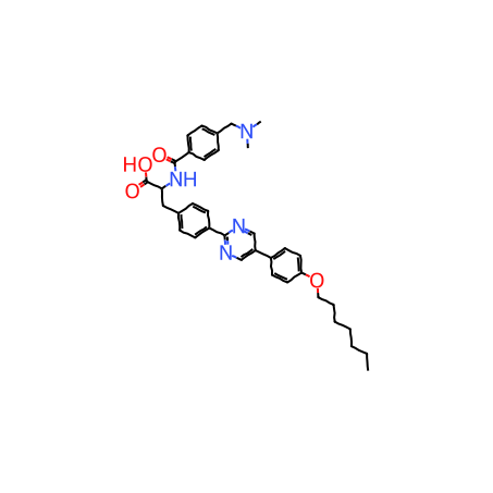 CCCCCCCOc1ccc(-c2cnc(-c3ccc(CC(NC(=O)c4ccc(CN(C)C)cc4)C(=O)O)cc3)nc2)cc1